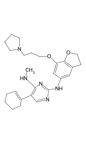 CNc1nc(Nc2cc3c(c(OCCCN4CCCC4)c2)OCC3)ncc1C1=CCCCC1